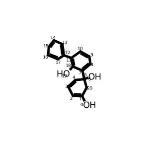 OC1=CC=CC(O)(c2cccc(-c3ccccc3)c2O)C1